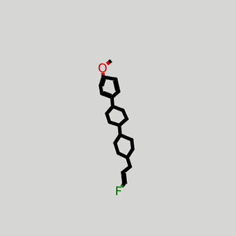 COc1ccc(C2CCC(C3CCC(CC=CF)CC3)CC2)cc1